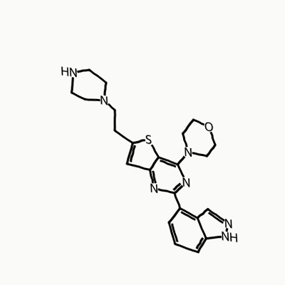 c1cc(-c2nc(N3CCOCC3)c3sc(CCN4CCNCC4)cc3n2)c2cn[nH]c2c1